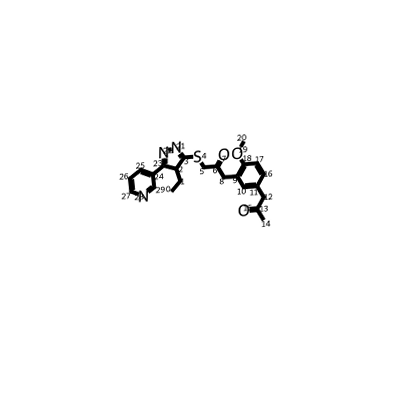 CCC1C(SCC(=O)Cc2cc(CC(C)=O)ccc2OC)=NN=C1c1cccnc1